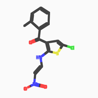 Cc1ccccc1C(=O)c1cc(Cl)sc1N/C=C/[N+](=O)[O-]